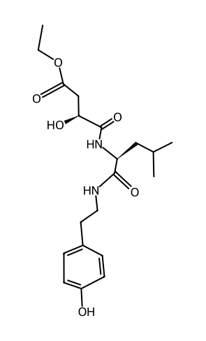 CCOC(=O)C[C@H](O)C(=O)N[C@@H](CC(C)C)C(=O)NCCc1ccc(O)cc1